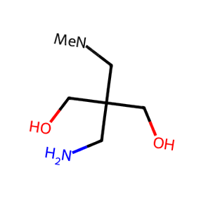 CNCC(CN)(CO)CO